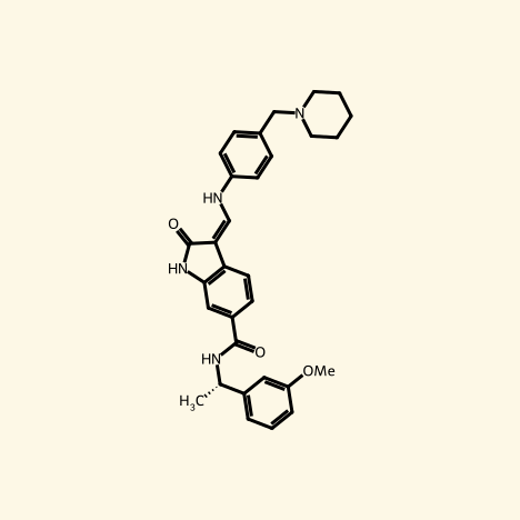 COc1cccc([C@H](C)NC(=O)c2ccc3c(c2)NC(=O)C3=CNc2ccc(CN3CCCCC3)cc2)c1